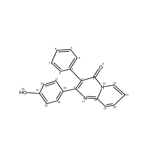 O=c1c(-c2ccccc2)c(-c2ccc(O)cc2)nc2ccccn12